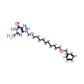 Nc1nc2c(ncn2COCCCCCCCCCCOCc2ccccc2)c(=O)[nH]1